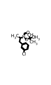 C[C](Cc1cccc(Cl)c1)N(C=O)OC(C)(C)C